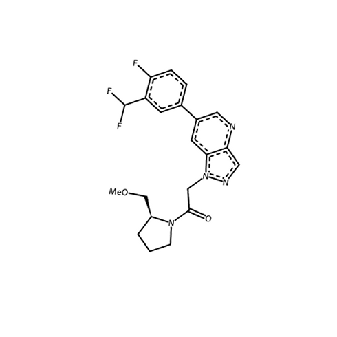 COC[C@@H]1CCCN1C(=O)Cn1ncc2ncc(-c3ccc(F)c(C(F)F)c3)cc21